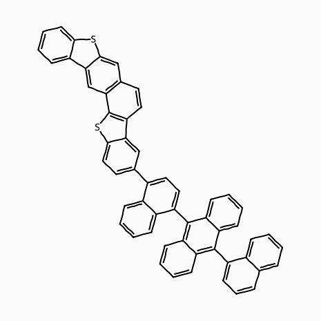 c1ccc2c(-c3c4ccccc4c(-c4ccc(-c5ccc6sc7c8cc9c(cc8ccc7c6c5)sc5ccccc59)c5ccccc45)c4ccccc34)cccc2c1